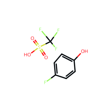 O=S(=O)(O)C(F)(F)F.Oc1ccc(F)cc1